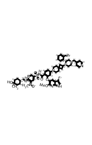 COc1nc2[nH]cc(F)c2cc1Oc1cc(N2CCC3(CC2)CC(N2CCN(Cc4ccncc4)C[C@H]2c2ccccc2C(C)C)C3)ccc1C(=O)NS(=O)(=O)c1cnc(NC[C@H]2CC[C@](C)(O)CC2)c([NH+](C)[O-])c1